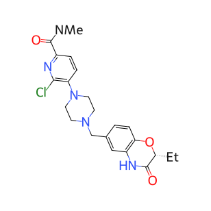 CC[C@H]1Oc2ccc(CN3CCN(c4ccc(C(=O)NC)nc4Cl)CC3)cc2NC1=O